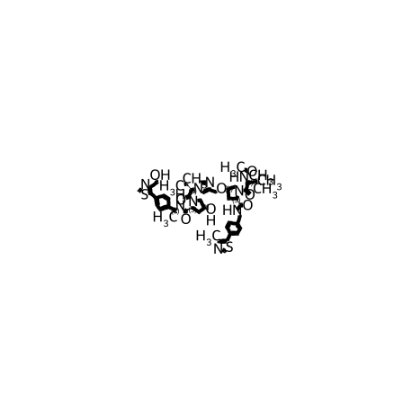 CC(=O)N[C@H](C(=O)N1C[C@H](OCc2cn([C@H](C(=O)N3C[C@H](O)C[C@H]3C(=O)N[C@@H](C)c3ccc(-c4scnc4CO)cc3)C(C)C)cn2)C[C@H]1C(=O)NCc1ccc(-c2scnc2C)cc1)C(C)(C)C